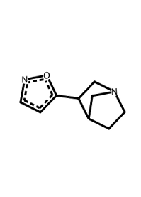 c1cc(C2CN3CCC2C3)on1